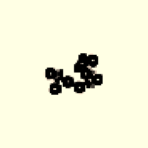 c1ccc(-n2c(-c3ccc(-c4cccc(-c5nc6ccccc6c6c7c(ccc56)C5(c6ccccc6O7)c6ccccc6-c6ccccc65)c4)cc3)nc3ccccc32)cc1